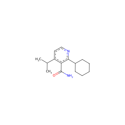 CC(C)c1ccnc(C2CCCCC2)c1C(N)=O